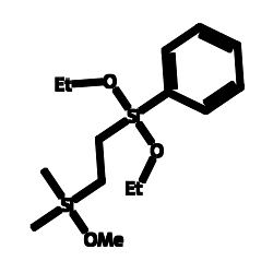 CCO[Si](CC[Si](C)(C)OC)(OCC)c1ccccc1